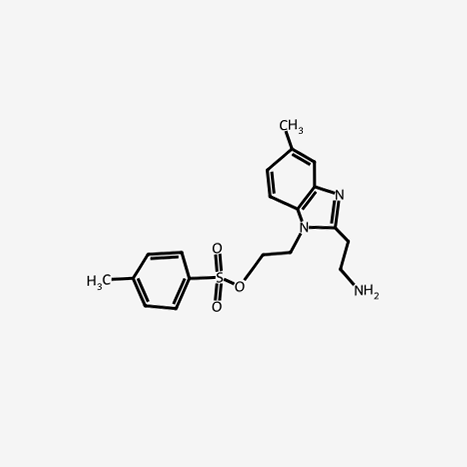 Cc1ccc(S(=O)(=O)OCCn2c(CCN)nc3cc(C)ccc32)cc1